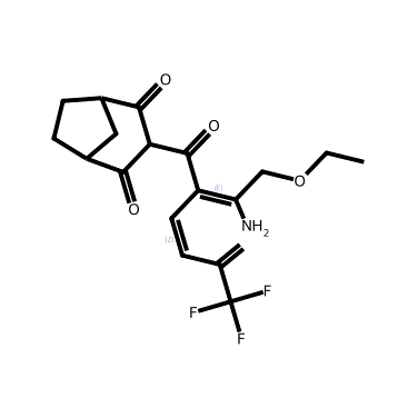 C=C(/C=C\C(C(=O)C1C(=O)C2CCC(C2)C1=O)=C(/N)COCC)C(F)(F)F